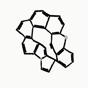 C1=Cc2c3ccc4ccc5ccc6ccc7c(cc8n7C=CC8c7cccc(c71)O3)c6c5c24